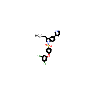 O=C(O)CCC1CN(S(=O)(=O)c2ccc(Oc3cc(Cl)cc(Cl)c3)cc2)c2ccc(-c3cccnc3)cc21